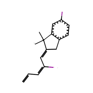 C=C/C=C(I)\C=C1/Cc2ccc(I)cc2C1(C)C